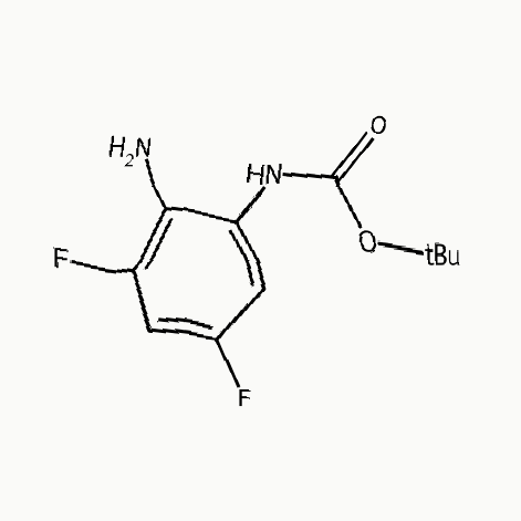 CC(C)(C)OC(=O)Nc1cc(F)cc(F)c1N